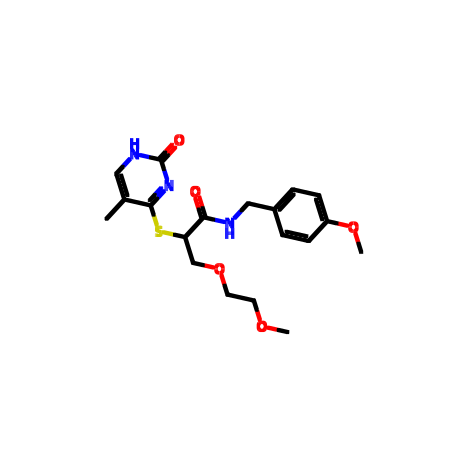 COCCOCC(Sc1nc(=O)[nH]cc1C)C(=O)NCc1ccc(OC)cc1